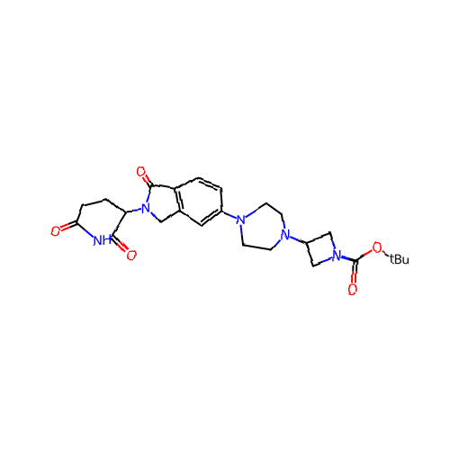 CC(C)(C)OC(=O)N1CC(N2CCN(c3ccc4c(c3)CN(C3CCC(=O)NC3=O)C4=O)CC2)C1